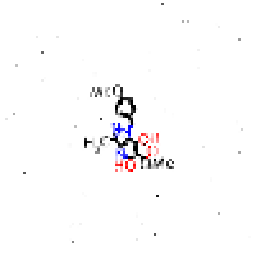 COC(=O)c1c(O)nc2c(C)nn(Cc3ccc(OC)cc3)c2c1O